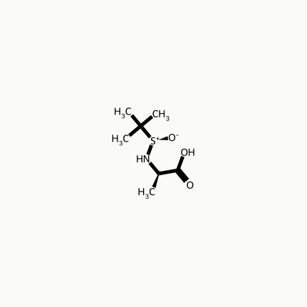 C[C@@H](N[S@+]([O-])C(C)(C)C)C(=O)O